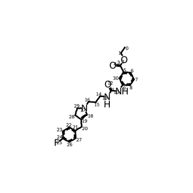 CCOC(=O)c1cccc(NC(=O)NCCCN2C=C(Cc3ccc(F)cc3)CC2)c1